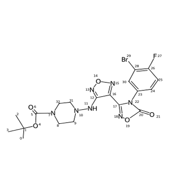 CC(C)(C)OC(=O)N1CCN(Nc2nonc2-c2noc(=O)n2-c2ccc(F)c(Br)c2)CC1